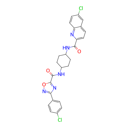 O=C(NC1CCC(NC(=O)c2nc(-c3ccc(Cl)cc3)no2)CC1)c1ccc2cc(Cl)ccc2n1